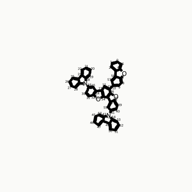 c1ccc2c(c1)oc1ccc(-c3cc4c5cc(-n6c7ccccc7c7ccccc76)ccc5oc4c4c3oc3ccc(-n5c6ccccc6c6ccccc65)cc34)cc12